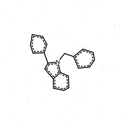 [c]1ccccc1Cn1c(-c2ccccc2)cc2ccccc21